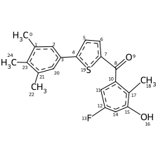 Cc1cc(-c2ccc(C(=O)c3cc(F)cc(O)c3C)s2)cc(C)c1C